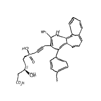 CC(C)C1=C(C#CP(=O)(O)C[C@@H](O)CC(=O)O)C(c2ccc(F)cc2)=C2C=CC=c3ccccc3=C2N1